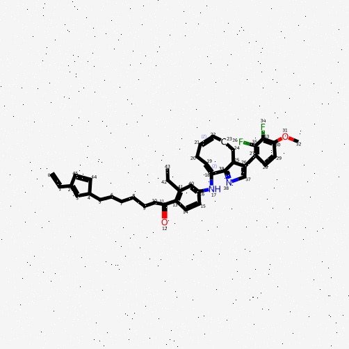 C=CC1=CC(CCCCCCC(=O)c2ccc(N/C3=C\C/C=C\CCC4C(c5ccc(OC)c(F)c5F)=CN=C34)cc2CC)C=C1